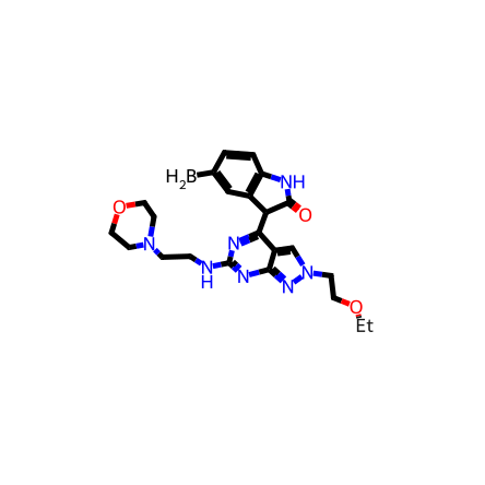 Bc1ccc2c(c1)C(c1nc(NCCN3CCOCC3)nc3nn(CCOCC)cc13)C(=O)N2